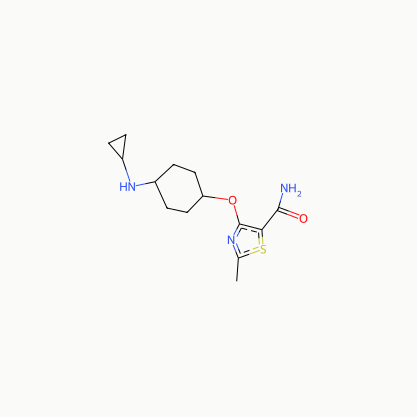 Cc1nc(OC2CCC(NC3CC3)CC2)c(C(N)=O)s1